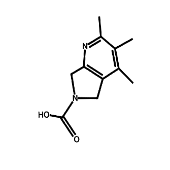 Cc1nc2c(c(C)c1C)CN(C(=O)O)C2